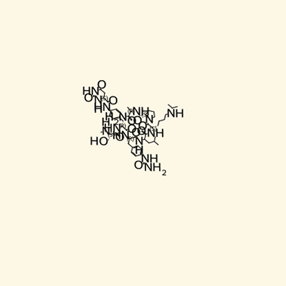 CN[C@@H](CO)C(=O)N[C@H](Cc1ccc(NC(=O)[C@@H]2CC(=O)NC(=O)N2)cc1)C(=O)N[C@H](Cc1ccc(NC(N)=O)cc1)C(=O)NC(CC(C)C)C(=O)N[C@@H](CCCCNC(C)C)C(=O)N1CCC[C@H]1C(=O)N[C@H](C)C(N)=O